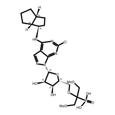 COCC(COC)(OC[C@H]1O[C@@H](n2ncc3c(N[C@@H]4CC[C@H]5CCC[C@H]54)nc(Cl)nc32)[C@H](O)[C@@H]1O)P(=O)(O)O